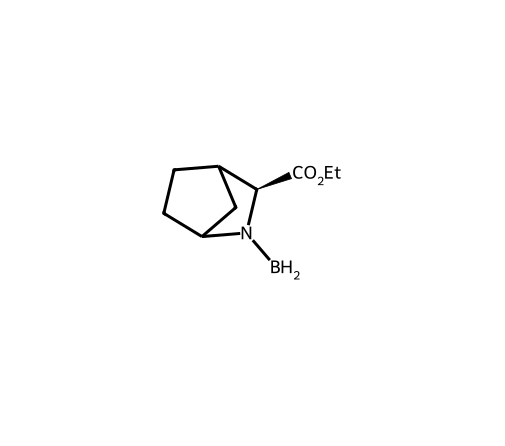 BN1C2CCC(C2)[C@H]1C(=O)OCC